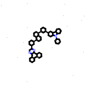 c1ccc(-n2c3ccccc3c3cc(-c4cccc(-c5cccc6c(-c7cccc(-c8cnc9c%10ccccc%10c%10ccccc%10c9n8)c7)cccc56)c4)ccc32)cc1